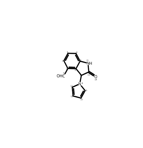 O=Cc1cccc2c1C(n1cccc1)C(=O)N2